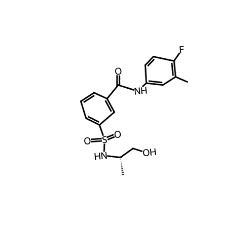 Cc1cc(NC(=O)c2cccc(S(=O)(=O)N[C@@H](C)CO)c2)ccc1F